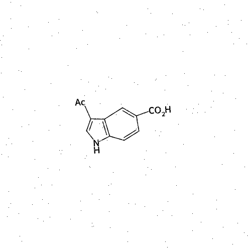 CC(=O)c1c[nH]c2ccc(C(=O)O)cc12